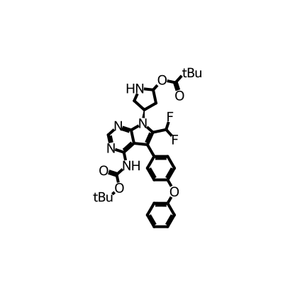 CC(C)(C)OC(=O)Nc1ncnc2c1c(-c1ccc(Oc3ccccc3)cc1)c(C(F)F)n2[C@H]1CNC(OC(=O)C(C)(C)C)C1